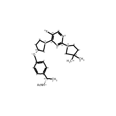 CC(=O)N[C@@H](C)c1ccc(O[C@@H]2CCN(c3nc(N4CCC(C)(C)C4)ncc3F)C2)cc1